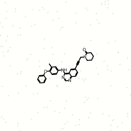 Cc1cc(Nc2ncnc3ccc(C#CCN4CCCCC4=O)cc23)ccc1Oc1ccccc1